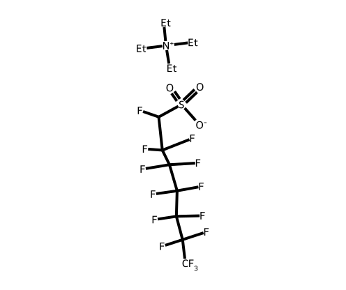 CC[N+](CC)(CC)CC.O=S(=O)([O-])C(F)C(F)(F)C(F)(F)C(F)(F)C(F)(F)C(F)(F)C(F)(F)F